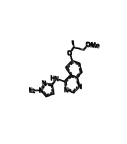 CCn1ccc(Nc2ncnc3ccc(O[C@@H](C)COC)cc23)n1